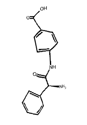 N[C@H](C(=O)Nc1ccc(C(=O)O)cc1)c1ccccc1